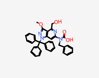 COc1nn(C(c2ccccc2)(c2ccccc2)c2ccccc2)c2cc(N(Cc3ccccc3)C(=O)O)nc(CO)c12